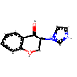 O=C1c2ccccc2OCC1n1ccnc1